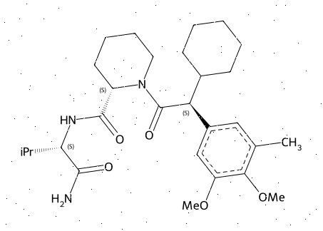 COc1cc([C@@H](C(=O)N2CCCC[C@H]2C(=O)N[C@H](C(N)=O)C(C)C)C2CCCCC2)cc(C)c1OC